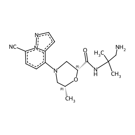 C[C@@H]1CN(c2ccc(C#N)n3nccc23)C[C@H](C(=O)NC(C)(C)CN)O1